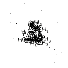 CCCC(C)(CC)C(=O)CCCCC(=O)N[C@@H](CCC(=O)NC[C@H](O)[C@@H](O)[C@H](O)[C@H](O)CO)C(=O)N[C@H](C(=O)N[C@@H](C)C(=O)NCOCCCCc1c(C)c(F)cc2nc3c(cc12)Cn1c-3cc2c(c1=O)COC(=O)[C@]2(O)CC)C(C)C